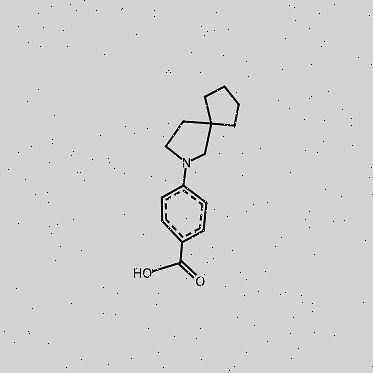 O=C(O)c1ccc(N2CCC3(CCCC3)C2)cc1